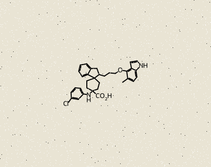 Cc1ccc2[nH]ccc2c1OCCCC1Cc2ccccc2C12CCC(Nc1cccc(Cl)c1)(C(=O)O)CC2